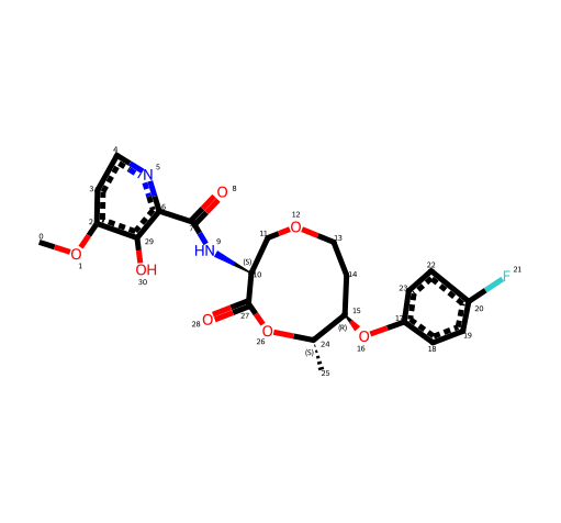 COc1ccnc(C(=O)N[C@H]2COCC[C@@H](Oc3ccc(F)cc3)[C@H](C)OC2=O)c1O